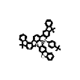 CC(C)(C)c1ccc(N2B3c4cc5c(cc4-n4c6ccc7c(c6c6ccc(c3c64)-c3cc4c(cc32)C(C)(C)c2ccccc2-4)-c2ccccc2C7(C)C)oc2ccccc25)cc1